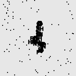 Fc1ccc(-c2nccc3[nH]c(-c4n[nH]c5c(F)cc(-c6cncc(CNCc7ccccc7)c6)cc45)nc23)s1